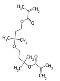 C=C(C)C(=O)OCCC(C)(C)OCCC(C)(C)OC(=O)C(=C)C